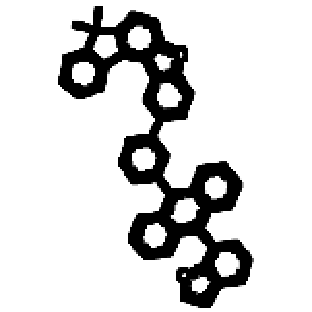 CC1(C)c2ccccc2-c2c1ccc1oc3ccc(-c4cccc(-c5c6ccccc6c(-c6cccc7ccoc67)c6ccccc56)c4)cc3c21